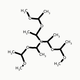 COC(C)OC(C)N(C(C)OC(C)OC)C(C)OC(C)OC